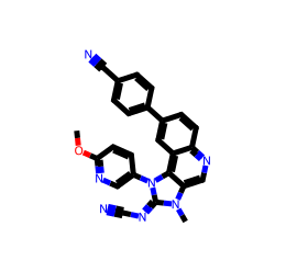 COc1ccc(-n2c(=NC#N)n(C)c3cnc4ccc(-c5ccc(C#N)cc5)cc4c32)cn1